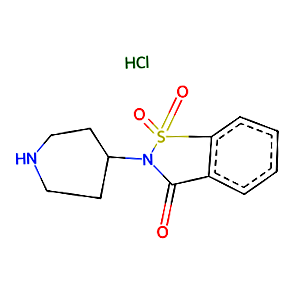 Cl.O=C1c2ccccc2S(=O)(=O)N1C1CCNCC1